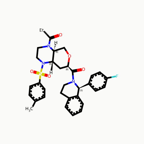 CCC(=O)N1CCN(S(=O)(=O)c2ccc(C)cc2)[C@H]2C[C@H](C(=O)N3CCc4ccccc4[C@@H]3c3ccc(F)cc3)OC[C@@H]21